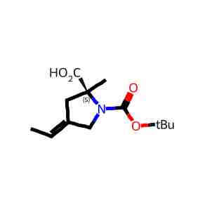 CC=C1CN(C(=O)OC(C)(C)C)[C@](C)(C(=O)O)C1